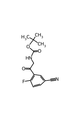 CC(C)(C)OC(=O)NCC(=O)c1cc(C#N)ccc1F